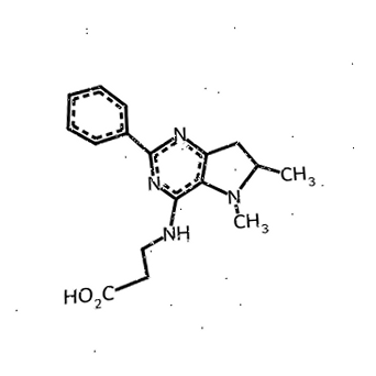 CC1Cc2nc(-c3ccccc3)nc(NCCC(=O)O)c2N1C